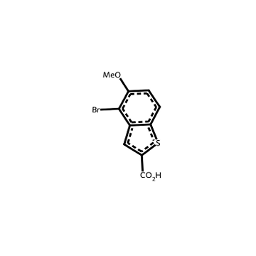 COc1ccc2sc(C(=O)O)cc2c1Br